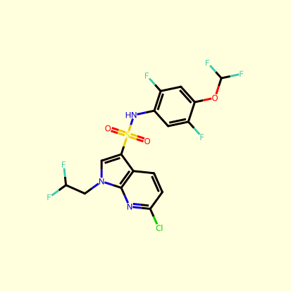 O=S(=O)(Nc1cc(F)c(OC(F)F)cc1F)c1cn(CC(F)F)c2nc(Cl)ccc12